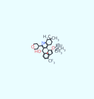 CC1(C)CCc2c(nc(C3CCOCC3)c([C@@H](O)c3ccc(C(F)(F)F)cc3)c2[C@@H]2CCC=C2O[Si](C)(C)C(C)(C)C)C1